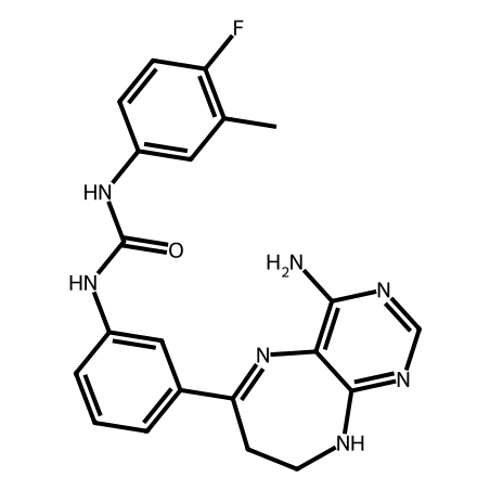 Cc1cc(NC(=O)Nc2cccc(C3=Nc4c(N)ncnc4NCC3)c2)ccc1F